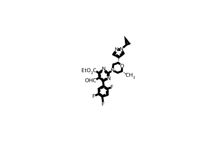 CCOC(=O)c1nc(N2C[C@@H](C)O[C@@H](c3cnn(C4CC4)c3)C2)nc(-c2cc(F)c(F)cc2F)c1C=O